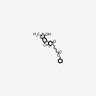 Cc1nc(O)c2cc(-c3ccn(CCCCC(=O)OCc4ccccc4)c(=O)c3)c(C)cc2n1